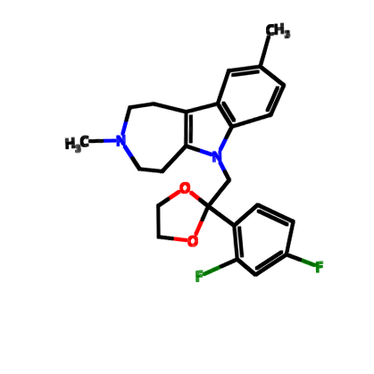 Cc1ccc2c(c1)c1c(n2CC2(c3ccc(F)cc3F)OCCO2)CCN(C)CC1